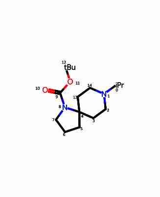 CC(C)N1CCC2(CCCN2C(=O)OC(C)(C)C)CC1